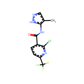 Cc1cn[nH]c1NC(=O)c1ccc(C(F)(F)F)nc1Cl